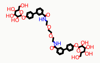 O=C(NCCOCCOCCNC(=O)c1cccc(-c2ccc(OC3OC(CO)C(O)C(O)C3O)cc2)c1)c1cccc(-c2ccc(OC3OC(CO)C(O)C(O)C3O)cc2)c1